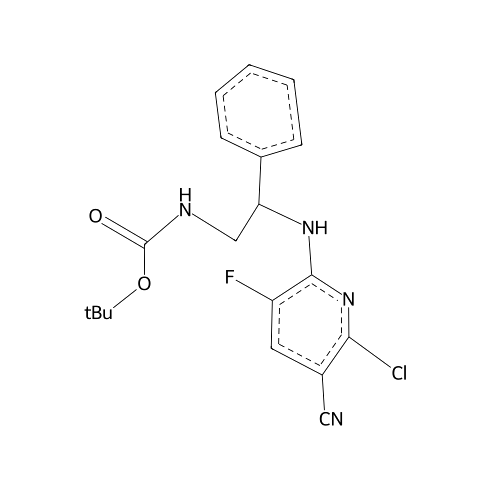 CC(C)(C)OC(=O)NCC(Nc1nc(Cl)c(C#N)cc1F)c1ccccc1